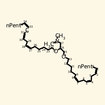 CCCCC/C=C\C/C=C\C/C=C\CCCCCOCC(CN(C)C)OCCCCC/C=C\C/C=C\C/C=C\CCCCC